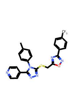 Cc1ccc(-n2c(SCc3nc(-c4ccc(C(F)(F)F)cc4)no3)nnc2-c2ccncc2)cc1